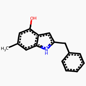 Cc1cc(O)c2cc(Cc3ccccc3)[nH]c2c1